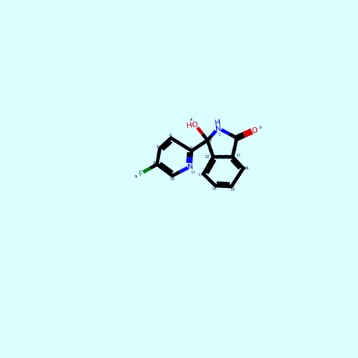 O=C1NC(O)(c2ccc(F)cn2)c2ccccc21